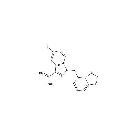 N=C(N)c1nn(Cc2cccc3c2OCO3)c2ncc(F)cc12